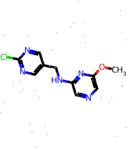 COc1cncc(NCc2cnc(Cl)nc2)n1